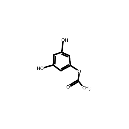 [CH2]C(=O)Oc1cc(O)cc(O)c1